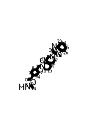 C=C(OC(C)=N)c1ccc(CN2CCCC3(CCN(c4cnc5ccccc5n4)CC3)C2=O)cc1